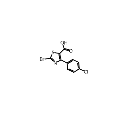 O=C(O)c1sc(Br)nc1-c1ccc(Cl)cc1